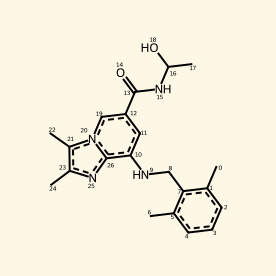 Cc1cccc(C)c1CNc1cc(C(=O)NC(C)O)cn2c(C)c(C)nc12